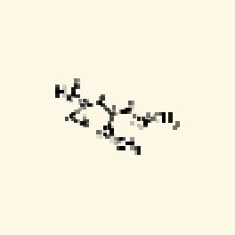 COC[C@H](CC1(C)CC1)OC